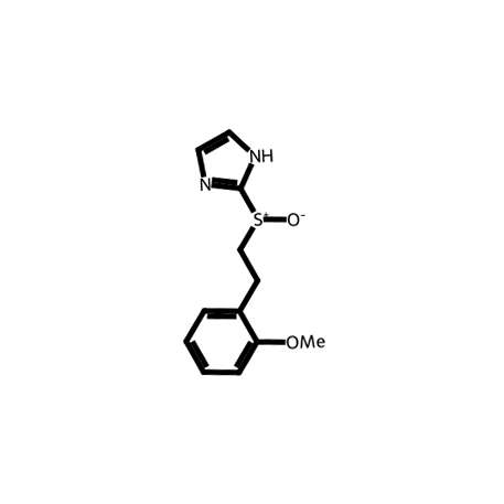 COc1ccccc1CC[S+]([O-])c1ncc[nH]1